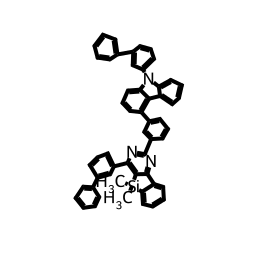 C[Si]1(C)c2ccccc2-c2nc(-c3cccc(-c4cccc5c4c4ccccc4n5-c4cccc(-c5ccccc5)c4)c3)nc(-c3cccc(-c4ccccc4)c3)c21